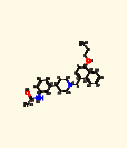 CC(C)CCOc1ccc(CN2CCC(c3cccc(NC(=O)C(C)C)c3)CC2)c2ccccc12